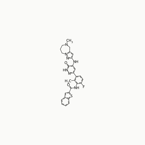 Cc1c(-c2cc(Nc3cc4n(n3)CCCN(C)C4)c(=O)[nH]n2)ccc(F)c1NC(=O)c1cc2ccccc2s1